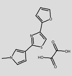 Cn1ccc(-c2nc(-c3ccco3)cs2)c1.O=C(O)C(=O)O